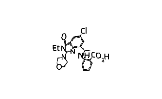 CCn1c(N2CCOCC2)nc2c(C(C)Nc3ccccc3C(=O)O)cc(Cl)cc2c1=O